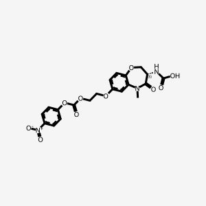 CN1C(=O)[C@@H](NC(=O)O)COc2ccc(OCCOC(=O)Oc3ccc([N+](=O)[O-])cc3)cc21